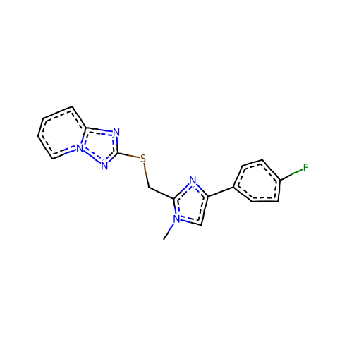 Cn1cc(-c2ccc(F)cc2)nc1CSc1nc2ccccn2n1